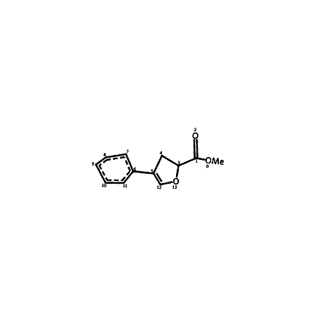 COC(=O)C1CC(c2ccccc2)=CO1